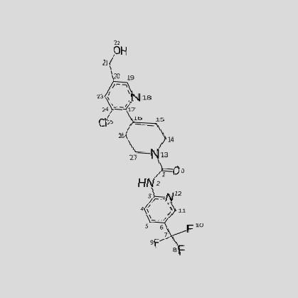 O=C(Nc1ccc(C(F)(F)F)cn1)N1CC=C(c2ncc(CO)cc2Cl)CC1